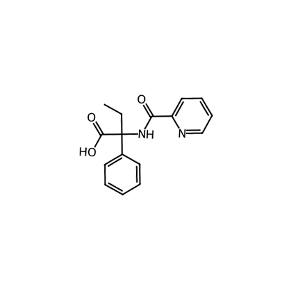 CCC(NC(=O)c1ccccn1)(C(=O)O)c1ccccc1